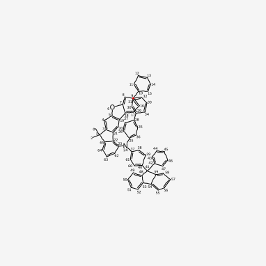 CC1(C)c2cc3oc4cc(-c5ccccc5)ccc4c3cc2-c2c(N(c3ccc(-c4ccccc4)cc3)c3ccc(C4(c5ccccc5)c5ccccc5-c5ccccc54)cc3)cccc21